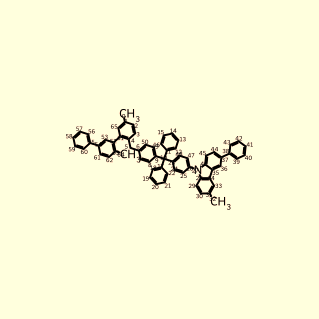 Cc1ccc(Cc2ccc(C(c3ccccc3)(c3ccccc3)c3ccc(-n4c5ccc(C)cc5c5cc(-c6ccccc6)ccc54)cc3)cc2)c(-c2cc(-c3ccccc3)ccc2C)c1